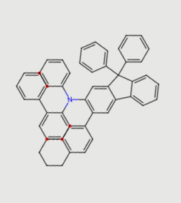 c1ccc(-c2ccccc2N(c2ccccc2)c2cc3c(cc2-c2ccc4c(c2)CCCC4)-c2ccccc2C3(c2ccccc2)c2ccccc2)cc1